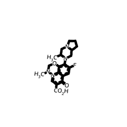 CC1CN2CCCC2CN1c1c(F)cc2c(=O)c(C(=O)O)cn3c2c1OCN3C